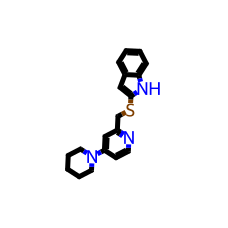 c1ccc2[nH]c(SCc3cc(N4CCCCC4)ccn3)cc2c1